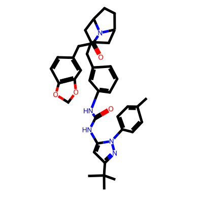 Cc1ccc(-n2nc(C(C)(C)C)cc2NC(=O)Nc2cccc(CC3CC4CCC(C3)N4C(=O)Cc3ccc4c(c3)OCO4)c2)cc1